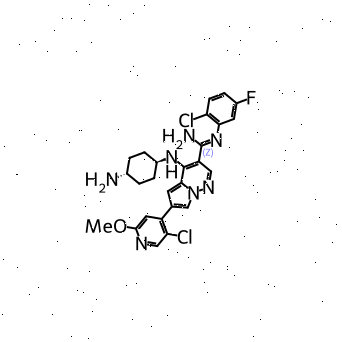 COc1cc(-c2cc3c(N[C@H]4CC[C@H](N)CC4)c(/C(N)=N/c4cc(F)ccc4Cl)cnn3c2)c(Cl)cn1